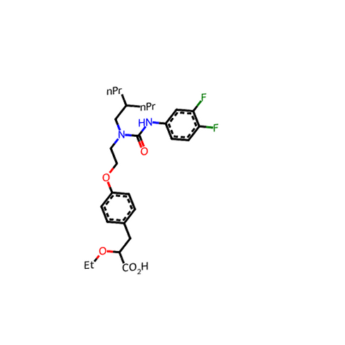 CCCC(CCC)CN(CCOc1ccc(CC(OCC)C(=O)O)cc1)C(=O)Nc1ccc(F)c(F)c1